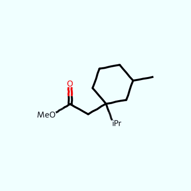 COC(=O)CC1(C(C)C)CCCC(C)C1